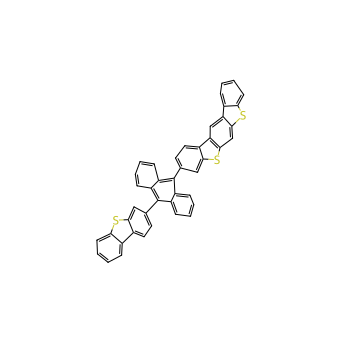 c1ccc2c(c1)sc1cc(-c3c4ccccc4c(-c4ccc5c(c4)sc4cc6sc7ccccc7c6cc45)c4ccccc34)ccc12